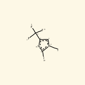 Cn1cc(C(F)(F)F)nc1I